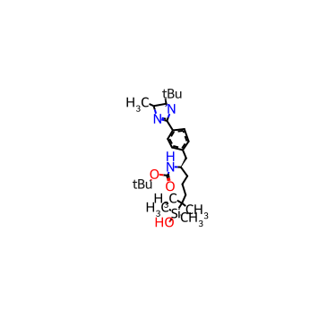 CC1N=C(c2ccc(C[C@@H](CCCC(C)(C)[Si](C)(C)O)NC(=O)OC(C)(C)C)cc2)N=C1C(C)(C)C